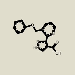 O=C(O)c1c[nH]nc1-c1ncccc1COc1ccccc1